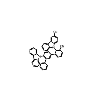 N#Cc1ccc2c(c1)c1ccccc1n2-c1c(C#N)cccc1-c1ccc(-n2c3ccccc3c3ccccc32)c(-c2ccccc2)c1